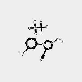 Cc1cccc(-n2c[n+](C)cc2C#N)c1.O=S(=O)([O-])C(F)(F)F